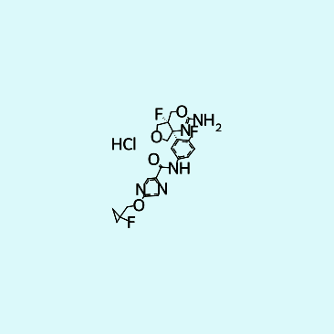 Cl.NC1=N[C@@]2(c3cc(NC(=O)c4cnc(OCC5(F)CC5)cn4)ccc3F)COC[C@@]2(F)CO1